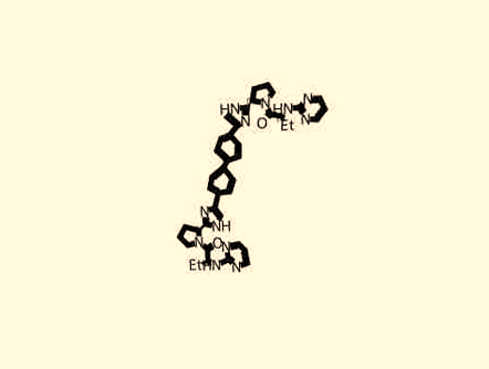 CC[C@H](Nc1ncccn1)C(=O)N1CCC[C@H]1c1nc(-c2ccc(-c3ccc(-c4c[nH]c([C@@H]5CCCN5C(=O)[C@H](CC)Nc5ncccn5)n4)cc3)cc2)c[nH]1